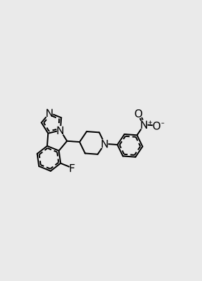 O=[N+]([O-])c1cccc(N2CCC(C3c4c(F)cccc4-c4cncn43)CC2)c1